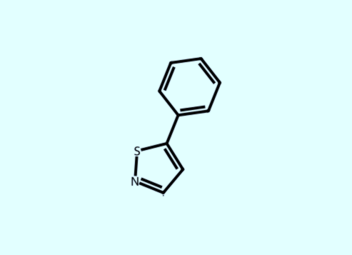 [c]1cc(-c2ccccc2)sn1